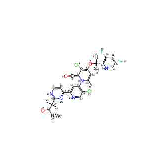 [2H]C([2H])(OC1=C(Cl)C(=C=O)N(c2cc(-c3ccnc(C(C)(C)C(=O)NC)n3)ncc2Cl)C(C)=C1)c1ncc(F)cc1F